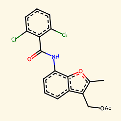 CC(=O)OCc1c(C)oc2c(NC(=O)c3c(Cl)cccc3Cl)cccc12